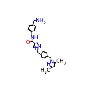 Cc1cc(C)n(Cc2ccc(Cn3cc(C(=O)NCc4ccc(CN)cc4)cn3)cc2)n1